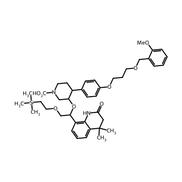 COc1ccccc1COCCCOc1ccc(C2CCN(C(=O)O)CC2OC(COCC[Si](C)(C)C)c2cccc3c2NC(=O)CC3(C)C)cc1